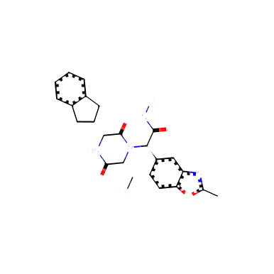 Cc1nc2cc([C@H](C(=O)NC(C)(C)C)N3C(=O)[C@@H](C4Cc5ccccc5C4)NC(=O)[C@H]3CC(C)C)ccc2o1